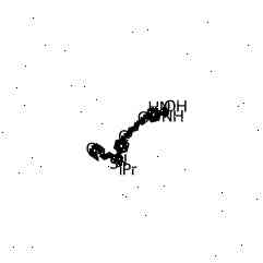 CC(C)c1nc(-c2ccc(OCCCCCOc3ccc(C(=N)NO)cc3)cc2)c(CCN2CCOCC2)s1